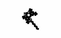 CCCCCCCCOc1c(C(C)(C)C)cc(C(C)(C)C)c2c1Cc1cc(C(C)(C)C)cc(C(C)(C)C)c1OPO2